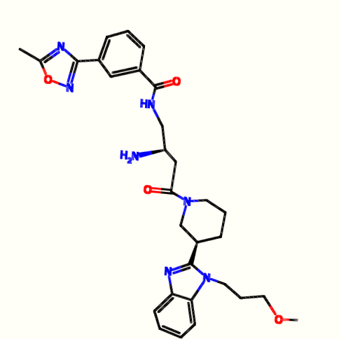 COCCCn1c([C@@H]2CCCN(C(=O)C[C@@H](N)CNC(=O)c3cccc(-c4noc(C)n4)c3)C2)nc2ccccc21